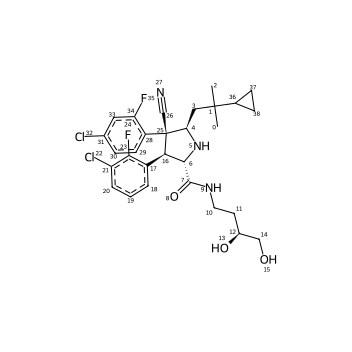 CC(C)(C[C@H]1N[C@H](C(=O)NCC[C@H](O)CO)[C@@H](c2cccc(Cl)c2F)[C@]1(C#N)c1ccc(Cl)cc1F)C1CC1